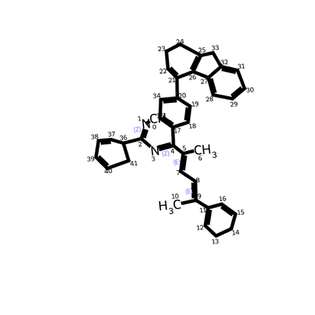 C\N=C(/N=C(/C(C)=C/C=C(\C)C1=CCCC=C1)c1ccc(C2=CCCC3=C2c2ccccc2C3)cc1)C1C=CC=CC1